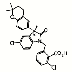 CC1(C)CCc2cc([C@]3(C)C(=O)N(Cc4cccc(Cl)c4C(=O)O)c4ccc(Cl)cc43)ccc2O1